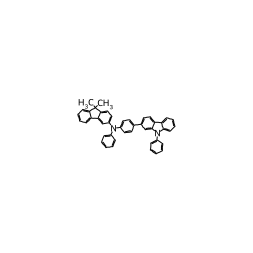 CC1(C)c2ccccc2-c2cc(N(c3ccccc3)c3ccc(-c4ccc5c6ccccc6n(-c6ccccc6)c5c4)cc3)ccc21